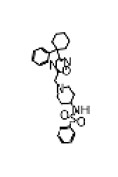 O=S(=O)(NC1CCN(Cc2nc(C3(c4ccccc4)CCCCC3)no2)CC1)c1ccccc1